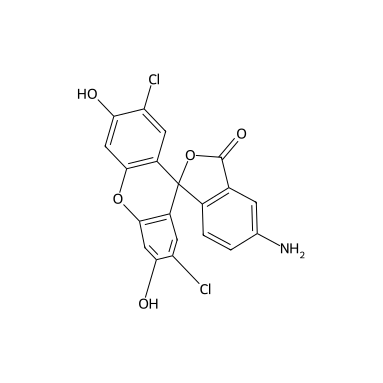 Nc1ccc2c(c1)C(=O)OC21c2cc(Cl)c(O)cc2Oc2cc(O)c(Cl)cc21